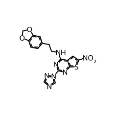 O=[N+]([O-])c1cc2c(NCCc3ccc4c(c3)OCO4)nc(-n3cncn3)nc2s1